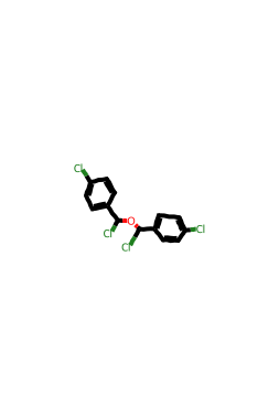 Clc1ccc(C(Cl)OC(Cl)c2ccc(Cl)cc2)cc1